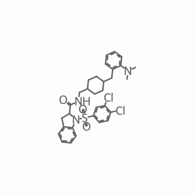 CN(C)c1ccccc1CC1CCC(CNC(=O)C2Cc3ccccc3N2S(=O)(=O)c2ccc(Cl)c(Cl)c2)CC1